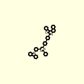 c1ccc(-c2nc(-c3ccc(-c4ccc(-c5nc6ccc7ccccc7c6c6c5oc5ccccc56)cc4)cc3)cc(-c3cccc(-n4c5ccccc5c5ccccc54)c3)n2)cc1